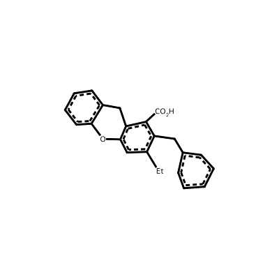 CCc1cc2c(c(C(=O)O)c1Cc1ccccc1)Cc1ccccc1O2